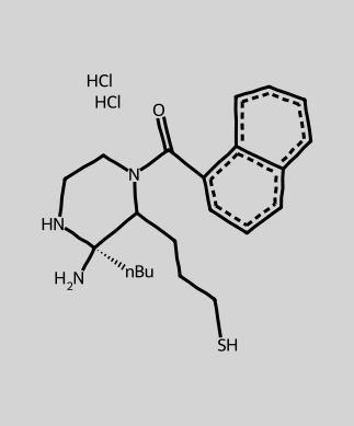 CCCC[C@]1(N)NCCN(C(=O)c2cccc3ccccc23)C1CCCS.Cl.Cl